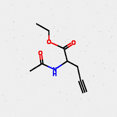 C#CCC(NC(C)=O)C(=O)OCC